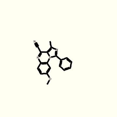 COc1ccc2nc(C#N)c3c(C)nc(-c4ccccc4)n3c2c1